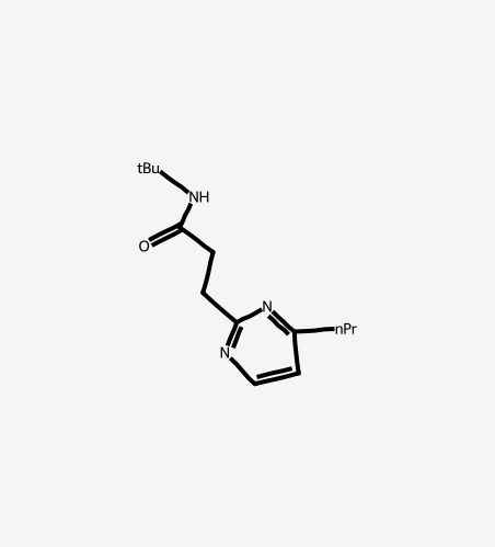 CCCc1ccnc(CCC(=O)NC(C)(C)C)n1